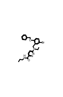 CCCNC(=O)c1ccc(N(CC)Cc2cc(Br)ccc2OCc2ccccc2)nn1